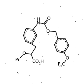 CC(C)OC(Cc1cccc(NC(=O)OCc2ccc(OC(F)(F)F)cc2)c1)C(=O)O